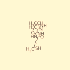 C/C(S)=C/C=C/C=c1\[nH]c(=O)/c(=C/c2nc[nH]c2C(C)(C)C)[nH]c1=O